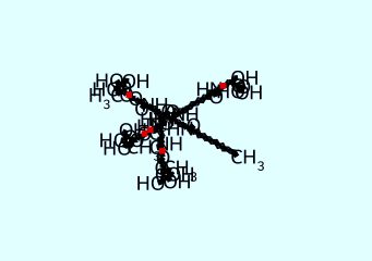 CCCCCCCCCCCCCCCC(=O)NCCCC[C@H](NC(=O)[C@H](CCCCNC(=O)CCOCCOC1OC(CO)C(O)C(O)C1C)NC(=O)[C@H](CCCCNC(=O)CCOCCOC1OC(CO)C(O)C(O)C1C)NC(=O)CCOCCOC1OC(CO)C(O)C(O)C1C)C(=O)NCCCCCCCCCCCC(=O)NCCCCC(CO)COP(=O)(O)O